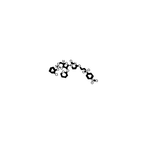 O=c1nc(OCCS(=O)(=O)c2ccc([N+](=O)[O-])cc2)ccn1[C@@H]1O[C@@H]2COP(=S)(Oc3ccccc3Cl)OC2C1OC1CCCCO1